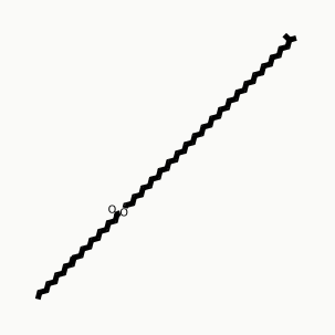 CCCCCCCCC=CCCCCCCCCCC(=O)OCCCCCCCCCCCCCCCCCCCCCCCCCCCCCCCCCCCCCCC(C)C